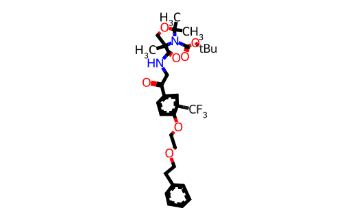 CC(C)(C)OC(=O)N1C(C)(C)OCC1(C)C(=O)NCC(=O)c1ccc(OCCOCCc2ccccc2)c(C(F)(F)F)c1